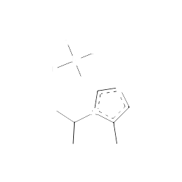 Cc1csc[n+]1C(C)C.F[B-](F)(F)F